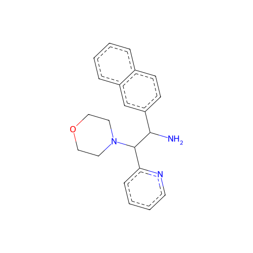 NC(c1ccc2ccccc2c1)C(c1ccccn1)N1CCOCC1